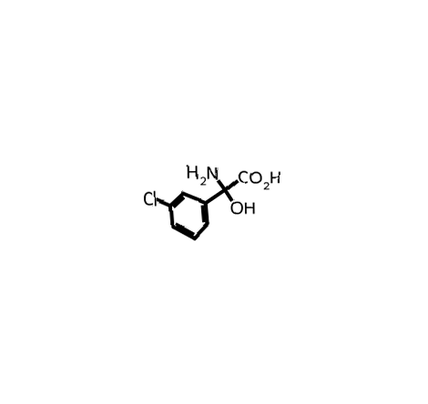 NC(O)(C(=O)O)c1cccc(Cl)c1